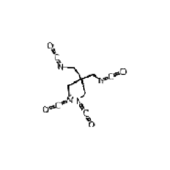 O=C=NCC(CN=C=O)(CN=C=O)CN=C=O